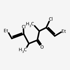 CCC=C(Cl)C(C)C(=O)C(C)C(Cl)=CCC